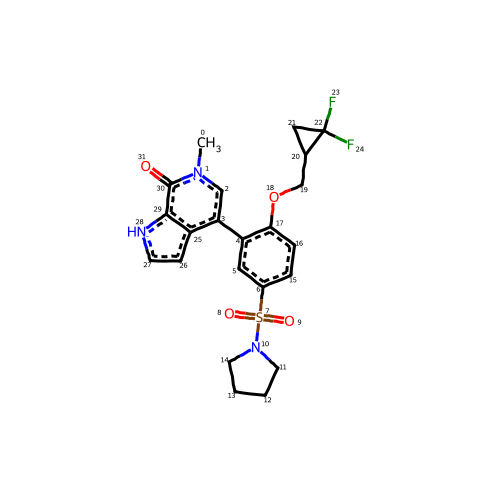 Cn1cc(-c2cc(S(=O)(=O)N3CCCC3)ccc2OCC2CC2(F)F)c2cc[nH]c2c1=O